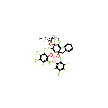 [CH3][Al]([CH3])[O]C1(F)C(F)=C(F)C(Cc2ccccc2)(OB(Oc2c(F)c(F)c(F)c(F)c2F)Oc2c(F)c(F)c(F)c(F)c2F)C(F)=C1F